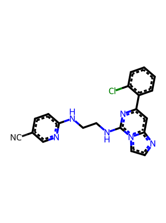 N#Cc1ccc(NCCNc2nc(-c3ccccc3Cl)cc3nccn23)nc1